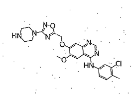 COc1cc2c(Nc3ccc(C)c(Cl)c3)ncnc2cc1OCc1nc(N2CCNCC2)no1